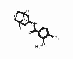 COc1cc(C(=O)NC2C[C@H]3COC[C@@H](C2)N3C)ccc1N